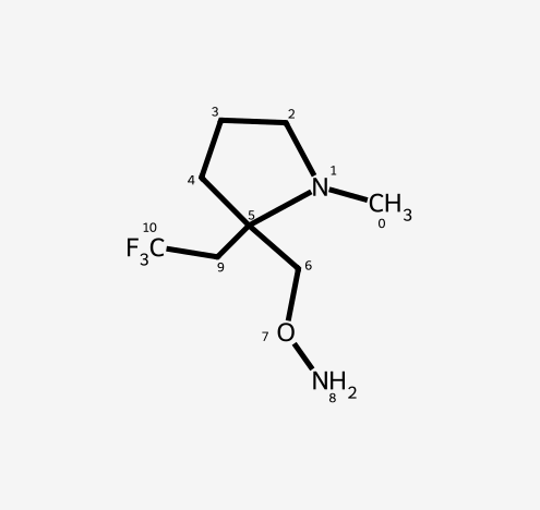 CN1CCCC1(CON)CC(F)(F)F